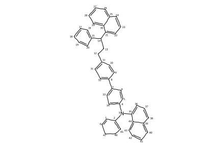 C1=CC(N(c2ccc(-c3ccc(CCC(c4ccccc4)c4cccc5ccccc45)cc3)cc2)c2cccc3ccccc23)=CCC1